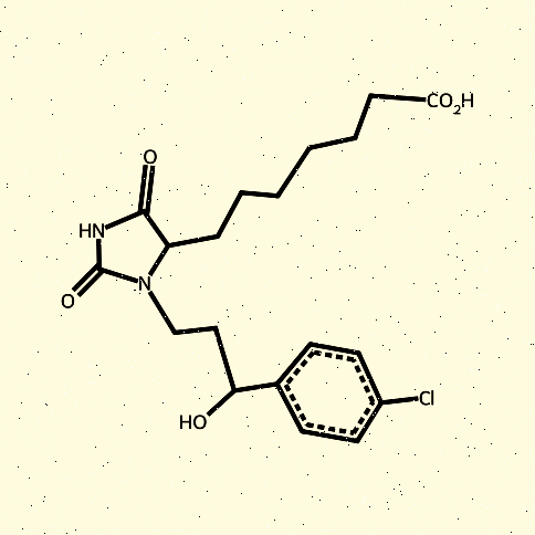 O=C(O)CCCCCCC1C(=O)NC(=O)N1CCC(O)c1ccc(Cl)cc1